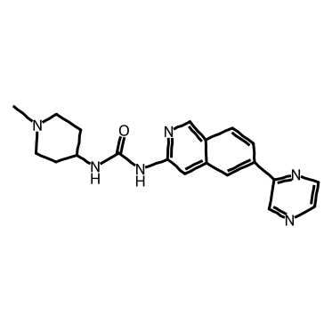 CN1CCC(NC(=O)Nc2cc3cc(-c4cnccn4)ccc3cn2)CC1